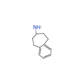 [NH]C1CCc2ccccc2CC1